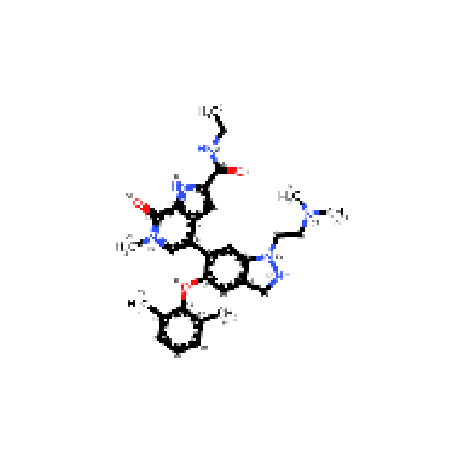 CCNC(=O)c1cc2c(-c3cc4c(cc3Oc3c(C)cccc3C)CNN4CCN(C)C)cn(C)c(=O)c2[nH]1